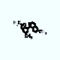 Cc1ccc2c(-c3cc(C)cc4cc(C)oc34)nccc2c1